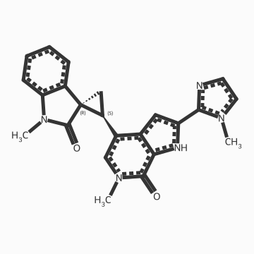 CN1C(=O)[C@@]2(C[C@H]2c2cn(C)c(=O)c3[nH]c(-c4nccn4C)cc23)c2ccccc21